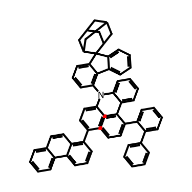 c1ccc(-c2ccccc2-c2ccccc2-c2ccccc2N(c2ccc(-c3cccc4c3ccc3ccccc34)cc2)c2cccc3c2-c2ccccc2C32C3CC4CC(C3)CC2C4)cc1